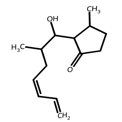 C=C/C=C\CC(C)C(O)C1C(=O)CCC1C